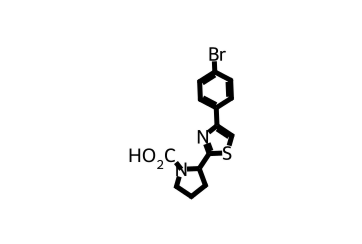 O=C(O)N1CCCC1c1nc(-c2ccc(Br)cc2)cs1